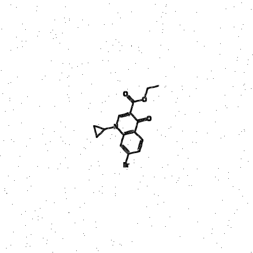 CCOC(=O)c1cn(C2CC2)c2cc(Br)ccc2c1=O